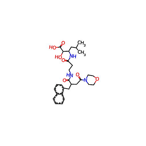 CC(C)CC(NC(=O)CCNC(=O)C(CC(=O)N1CCOCC1)Cc1cccc2ccccc12)C(O)C(=O)O